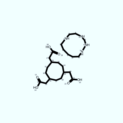 C1CCNCCNCNNCC1.O=C(O)CC1CCC(CC(=O)O)CCC(CC(=O)O)CC1